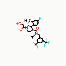 Cc1cc(F)ccc1C1CN(C(=O)CO)CCC1C(=O)N(Cc1cc(C(F)(F)F)cc(C(F)(F)F)c1)C1CC1